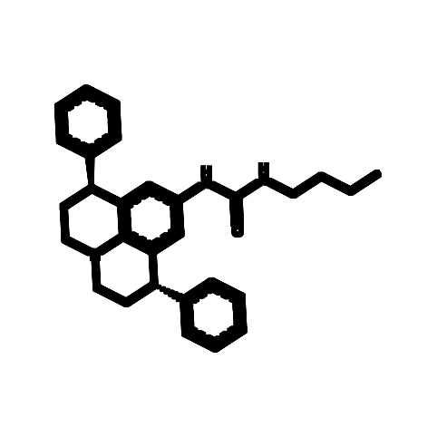 CCCCNC(=O)Nc1cc2c3c(c1)[C@H](c1ccccc1)CCN3CC[C@H]2c1ccccc1